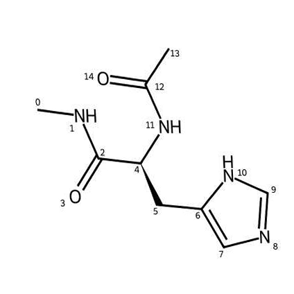 CNC(=O)[C@H](Cc1cnc[nH]1)NC(C)=O